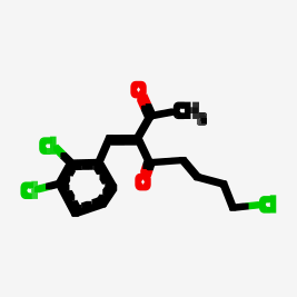 CC(=O)C(=Cc1cccc(Cl)c1Cl)C(=O)CCCCCl